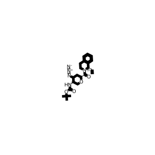 C=C[C@H]1c2ccccc2CCN1C(=O)[C@H]1CC(N=[N+]=[N-])[C@@H](NC(=O)OC(C)(C)C)CO1